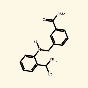 CCC(N)c1ccccc1N(CC)Cc1cccc(C(=O)OC)c1